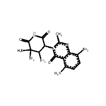 Bc1ccc(N)c2c(=O)n(C3C(=O)NC(=O)C(B)(B)C3B)c(C)nc12